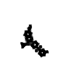 Cc1cccc(S(=O)(=O)N2CCN(c3nc4cc(C#N)ccc4nc3NC3CC3)CC2)c1